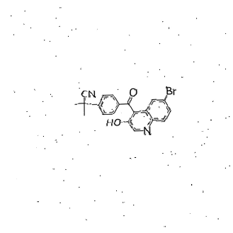 CC(C)(C#N)c1ccc(C(=O)c2c(O)cnc3ccc(Br)cc23)cc1